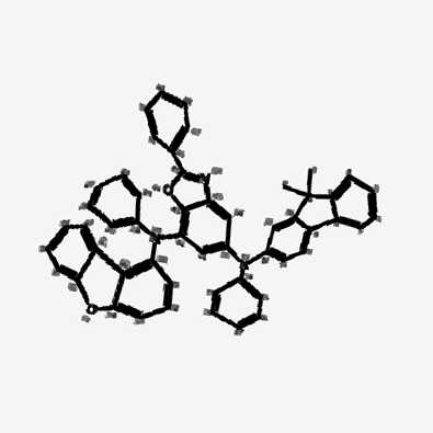 CC1(C)c2ccccc2-c2ccc(N(c3ccccc3)c3cc(N(c4ccccc4)c4cccc5oc6ccccc6c45)c4oc(-c5ccccc5)nc4c3)cc21